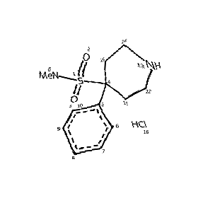 CNS(=O)(=O)C1(c2ccccc2)CCNCC1.Cl